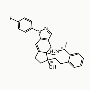 C[C@@H](N)c1ccccc1CC[C@]1(O)CCC2=Cc3c(cnn3-c3ccc(F)cc3)CC21C